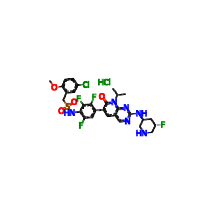 COc1ccc(Cl)cc1CS(=O)(=O)Nc1c(F)cc(-c2cc3cnc(N[C@@H]4CNC[C@@H](F)C4)nc3n(C(C)C)c2=O)c(F)c1F.Cl